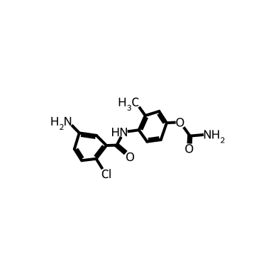 Cc1cc(OC(N)=O)ccc1NC(=O)c1cc(N)ccc1Cl